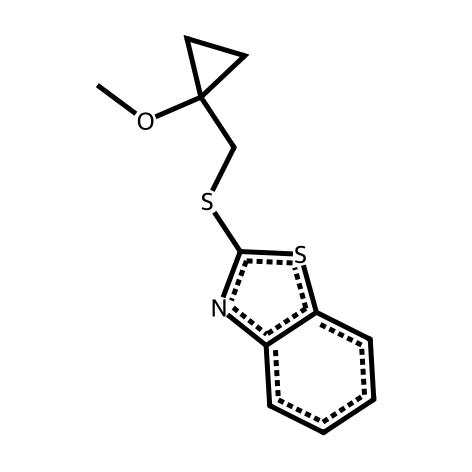 COC1(CSc2nc3ccccc3s2)CC1